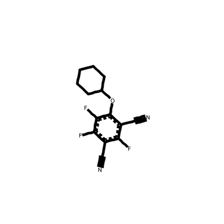 N#Cc1c(F)c(F)c(OC2CCCCC2)c(C#N)c1F